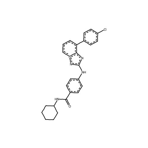 O=C(NC1CCCCC1)c1ccc(Nc2nc3c(-c4ccc(Cl)cc4)cccn3n2)cc1